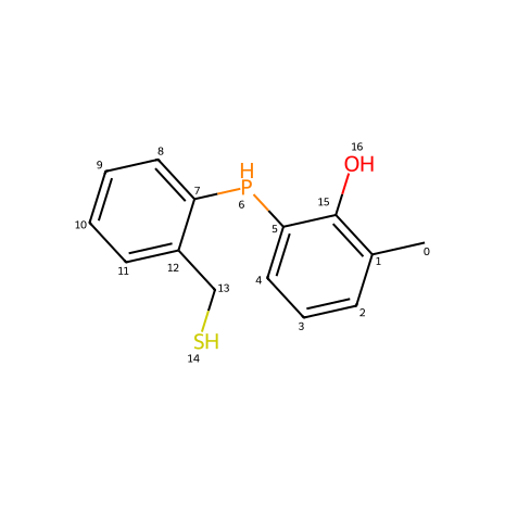 Cc1cccc(Pc2ccccc2CS)c1O